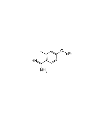 CCCOc1ccc(C(=N)N)c(C)c1